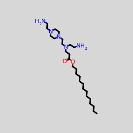 CCCCCCCCCCCCCCOC(=O)CCN(CCN)CCN1CCN(CCN)CC1